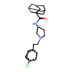 O=C(N[C@H]1CCN(CCc2ccc(Cl)cc2)C1)C12CC3CC(CC(C3)C1)C2